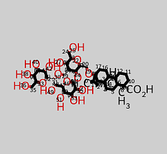 C=C1C[C@@]23CCC4[C@](C)(C(=O)O)CCC[C@@]4(C)[C@@H]2CC[C@]1(OC[C@@H]1OC(CO)[C@@H](O)[C@@H](COC[C@@H]2OC(CO)[C@@H](O)[C@@H](O)C2O)C1O[C@@H]1OC(CO)[C@@H](O)[C@@H](O)C1O)C3